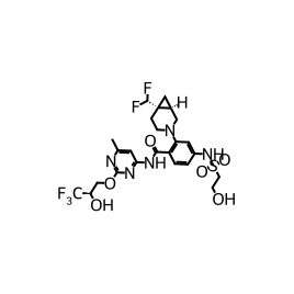 Cc1cc(NC(=O)c2ccc(NS(=O)(=O)CCO)cc2N2CC[C@@]3(C(F)F)C[C@H]3C2)nc(OC[C@@H](O)C(F)(F)F)n1